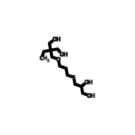 CCC(CO)(CO)COCCCSCC(O)CO